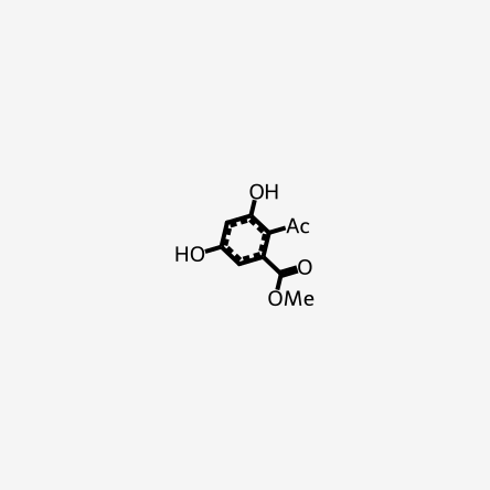 COC(=O)c1cc(O)cc(O)c1C(C)=O